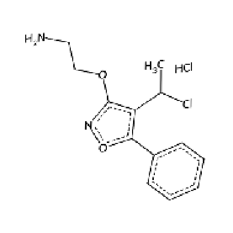 CC(Cl)c1c(OCCN)noc1-c1ccccc1.Cl